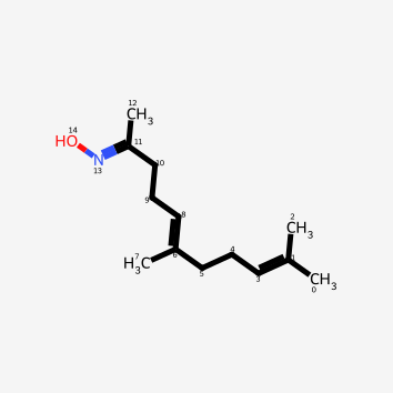 CC(C)=CCCC(C)=CCCC(C)=NO